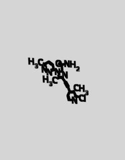 Cc1ccc(-n2c(C(N)=O)nc(C#Cc3ccnc(Cl)c3C)c2C)nn1